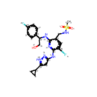 CS(=O)(=O)NCc1cc(F)c(Nc2cc(C3CC3)[nH]n2)nc1NC(CO)c1ccc(F)cc1